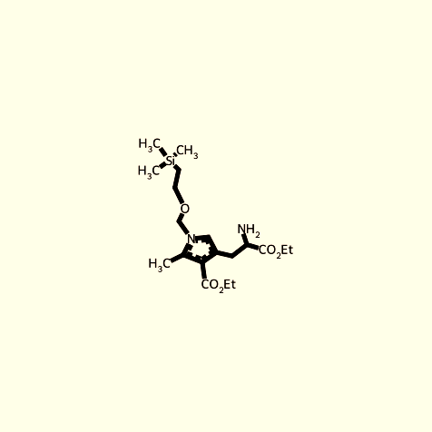 CCOC(=O)c1c(CC(N)C(=O)OCC)cn(COCC[Si](C)(C)C)c1C